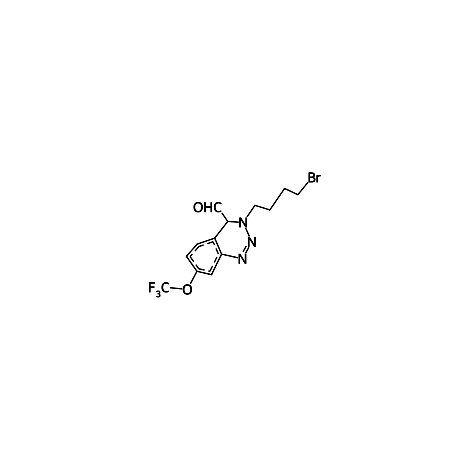 O=CC1c2ccc(OC(F)(F)F)cc2N=NN1CCCCBr